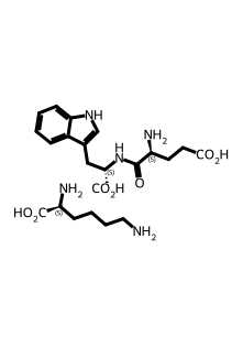 NCCCC[C@H](N)C(=O)O.N[C@@H](CCC(=O)O)C(=O)N[C@@H](Cc1c[nH]c2ccccc12)C(=O)O